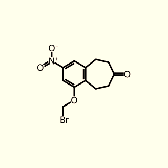 O=C1CCc2cc([N+](=O)[O-])cc(OCBr)c2CC1